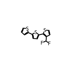 FC(F)c1ccsc1-c1ccc(-c2cccs2)s1